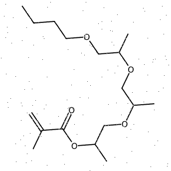 C=C(C)C(=O)OC(C)COC(C)COC(C)COCCCC